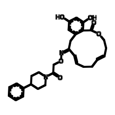 O=C1OCC/C=C/CC/C=C/C(=N\OCC(=O)N2CCC(c3ccccc3)CC2)Cc2cc(O)cc(O)c21